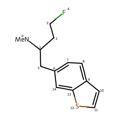 CNC(CCF)Cc1ccc2ccsc2c1